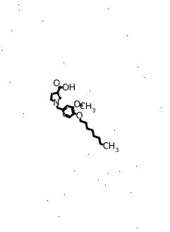 CCCCCCCCOc1ccc(CN2CCC(C(=O)O)C2)cc1OC